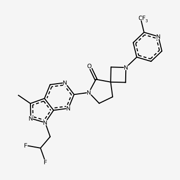 Cc1nn(CC(F)F)c2nc(N3CCC4(CN(c5ccnc(C(F)(F)F)c5)C4)C3=O)ncc12